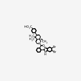 C=C[C@]12CC=C(c3ccc(C(=O)O)cc3)C(C)(C)C1=CCN(C(=O)c1ccccc1-c1nc3cc(Br)c(Br)cc3[nH]1)C2